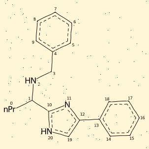 CCCC(NCc1ccccc1)c1nc(-c2ccccc2)c[nH]1